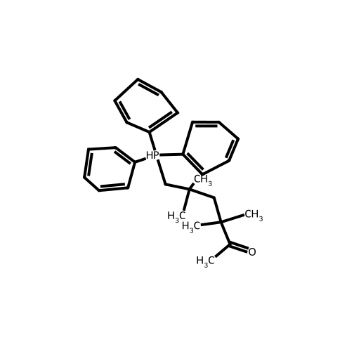 CC(=O)C(C)(C)CC(C)(C)C[PH](c1ccccc1)(c1ccccc1)c1ccccc1